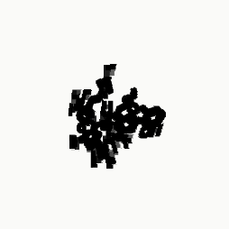 CCOC(=O)C[C@H](NC(=O)C(c1cc(Br)cc(C(F)(F)F)c1)n1cc(CCN2CC(F)C2)c(C(F)(F)F)cc1=O)c1cc(-c2c(C)cccc2O)cc(C(F)(F)F)c1F